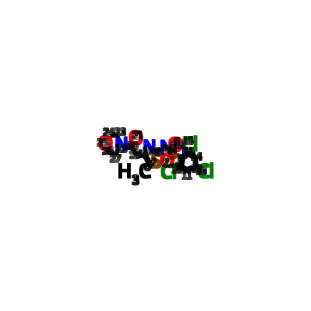 Cc1sc(NS(=O)(=O)c2c(Cl)cc(Cl)cc2Cl)nc1CC(=O)N1CCOCC1